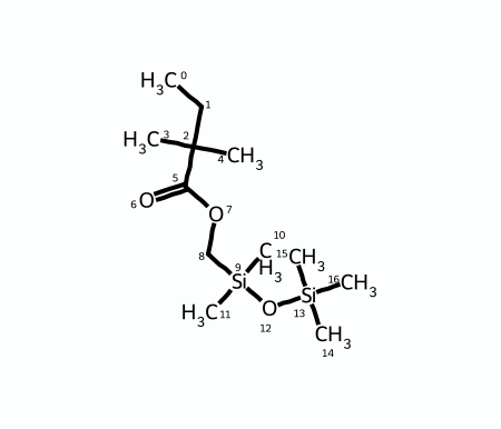 CCC(C)(C)C(=O)OC[Si](C)(C)O[Si](C)(C)C